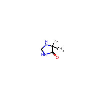 CC(C)C1(C)NCNC1=O